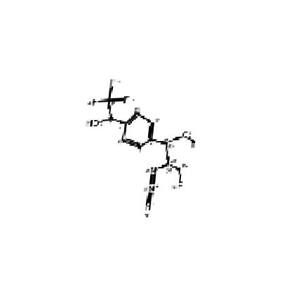 CO[C@H](c1ccc(C(O)C(F)(F)F)cc1)[C@@H](CF)N=[N+]=[N-]